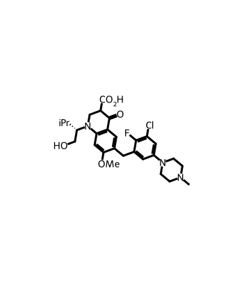 COc1cc2c(cc1Cc1cc(N3CCN(C)CC3)cc(Cl)c1F)C(=O)C(C(=O)O)CN2[C@H](CO)C(C)C